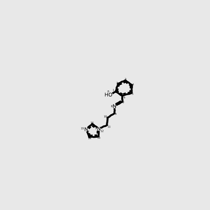 Oc1ccccc1/C=N/CCCn1ccnc1